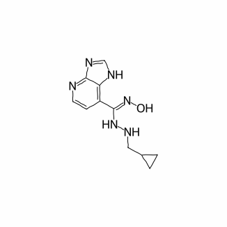 ON=C(NNCC1CC1)c1ccnc2nc[nH]c12